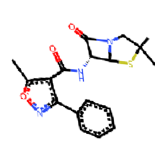 Cc1onc(-c2ccccc2)c1C(=O)N[C@@H]1C(=O)N2CC(C)(C)SC12